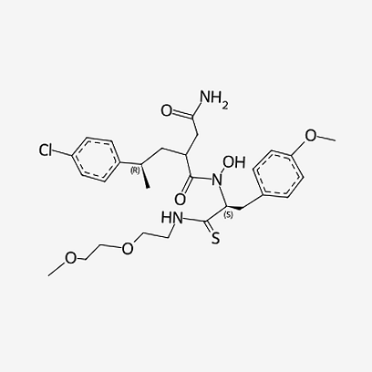 COCCOCCNC(=S)[C@H](Cc1ccc(OC)cc1)N(O)C(=O)C(CC(N)=O)C[C@@H](C)c1ccc(Cl)cc1